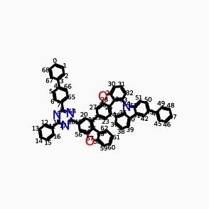 c1ccc(-c2ccc(-c3nc(-c4ccccc4)nc(-c4cc(-c5ccc6c(c5)oc5cccc(-n7c8ccccc8c8cc(-c9ccccc9)ccc87)c56)c5c(c4)oc4ccccc45)n3)cc2)cc1